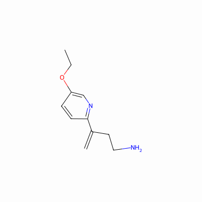 C=C(CCN)c1ccc(OCC)cn1